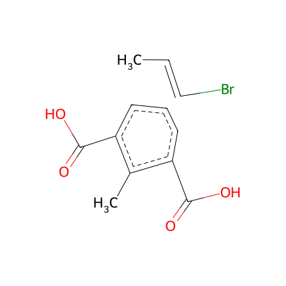 CC=CBr.Cc1c(C(=O)O)cccc1C(=O)O